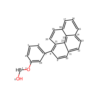 OBOc1cccc(-c2ccc3ccc4cccc5ccc2c3c45)c1